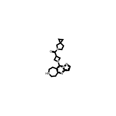 O=C(C1CN(c2c3c(nc4ccnn24)CCNCC3)C1)N1CCC2(CC2)C1